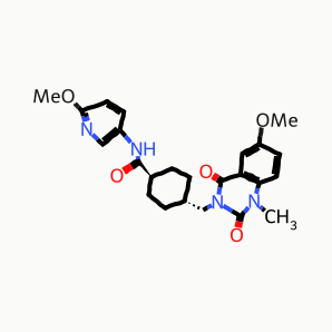 COc1ccc2c(c1)c(=O)n(C[C@H]1CC[C@H](C(=O)Nc3ccc(OC)nc3)CC1)c(=O)n2C